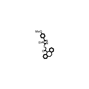 CCn1c(SCC(=O)C2c3ccccc3CCc3ccccc32)nnc1-c1ccc(OC)cc1